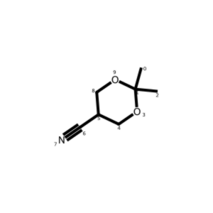 CC1(C)OCC(C#N)CO1